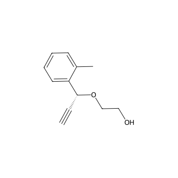 C#C[C@@H](OCCO)c1ccccc1C